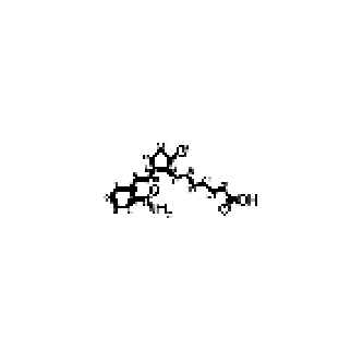 NC(=O)c1ccccc1C=CC1CCC(=O)C1CCCCCCC(=O)O